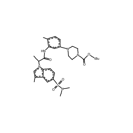 Cc1ccc(N2CCN(C(=O)OC(C)(C)C)CC2)cc1NC(=O)C(C)n1cc(C)c2cc(S(=O)(=O)N(C)C)ccc21